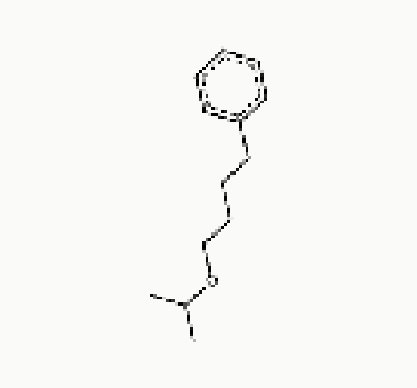 CC(C)OCCCCc1cc[c]cc1